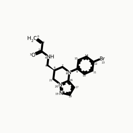 C=CC(=O)NC[C@H]1CN(c2ccc(Br)cc2)c2ccnn2C1